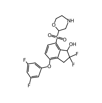 O=S(=O)(c1ccc(Oc2cc(F)cc(F)c2)c2c1C(O)C(F)(F)C2)C1CNCCO1